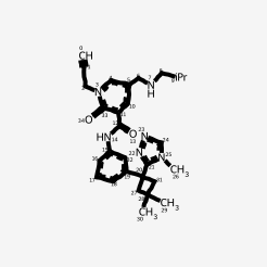 C#CCn1cc(CNCC(C)C)cc(C(=O)Nc2cccc(C3(c4nncn4C)CC(C)(C)C3)c2)c1=O